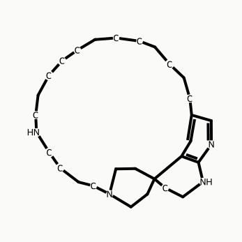 c1nc2c3cc1CCCCCCCCCCCCNCCCCN1CCC3(CCN2)CC1